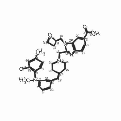 Cc1ccc(N(C)c2cccc(CC3CCN(Cc4nc5ccc(C(=O)O)cc5n4CC4CCO4)CC3)c2)c(Cl)c1